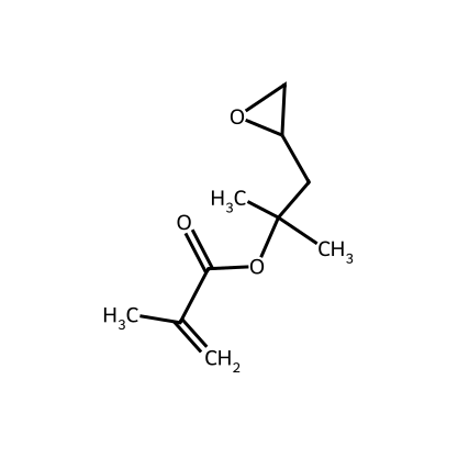 C=C(C)C(=O)OC(C)(C)CC1CO1